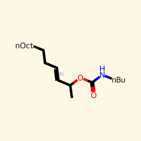 CCCCCCCCCC/C=C/C(C)OC(=O)NCCCC